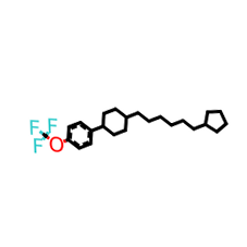 FC(F)(F)Oc1ccc(C2CCC(CCCCCCC3CCCC3)CC2)cc1